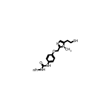 CCCNC(=O)Nc1ccc(OCc2ncc(CCS)n2C)cc1